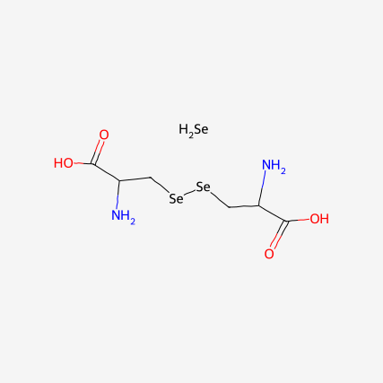 NC(C[Se][Se]CC(N)C(=O)O)C(=O)O.[SeH2]